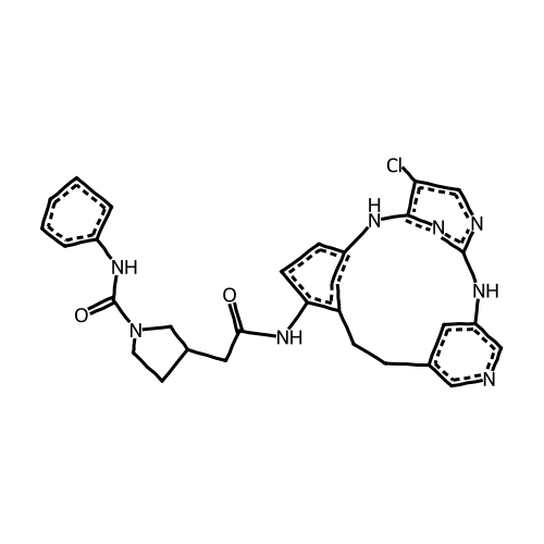 O=C(CC1CCN(C(=O)Nc2ccccc2)C1)Nc1ccc2cc1CCc1cncc(c1)Nc1ncc(Cl)c(n1)N2